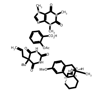 C=CCC1(C(C)CC)C(=O)NC(=O)NC1=O.CC(=O)Oc1ccccc1C(=O)O.COc1ccc2c(c1)[C@]13CCCC[C@@H]1[C@H](C2)N(C)CC3.Cn1c(=O)c2c(ncn2C)n(C)c1=O